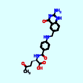 CC(=O)CC[C@H](NC(=O)c1ccc(NCc2ccc3[nH]c(N)nc(=O)c3c2)cc1)C(=O)O